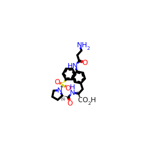 NCCC(=O)Nc1ccc(C[C@H](NC(=O)[C@@H]2CCCN2S(=O)(=O)c2ccccc2)C(=O)O)cc1